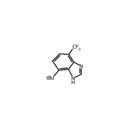 CC(C)(C)c1ccc(C(F)(F)F)c2nc[nH]c12